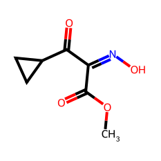 COC(=O)/C(=N\O)C(=O)C1CC1